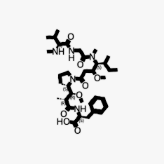 CCC(C)[C@@H](C(CC(=O)N1CCC[C@H]1[C@H](OC)[C@@H](C)C(=O)N[C@@H](Cc1ccccc1)C(=O)O)OC)N(C)C(=O)CNC(=O)[C@@H](NC)C(C)C